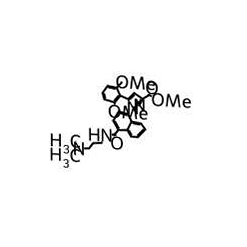 COC(=O)c1cc(-c2c(OC)cccc2OC)n(-c2ccc(C(=O)NCCCN(C)C)c3ccccc23)n1